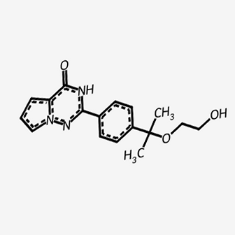 CC(C)(OCCO)c1ccc(-c2nn3cccc3c(=O)[nH]2)cc1